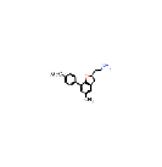 COc1ccc(-c2cc(C)cc3c2OC(CCN)C3)cc1